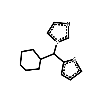 c1csc(C(C2CCCCC2)n2ccnc2)c1